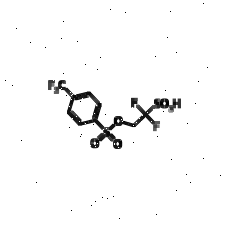 O=S(=O)(OCC(F)(F)S(=O)(=O)O)c1ccc(C(F)(F)F)cc1